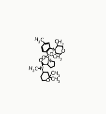 Cc1ccc(S(=O)(=O)N2CCC[C@H]2C(=O)N(C)[C@@H]2CCOC(C)(C)C2)c(N2[C@@H](C)COC[C@@H]2C)c1